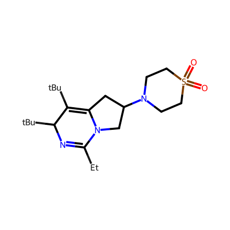 CCC1=NC(C(C)(C)C)C(C(C)(C)C)=C2CC(N3CCS(=O)(=O)CC3)CN12